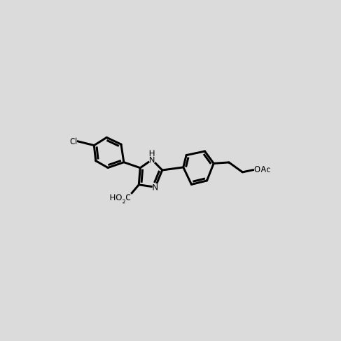 CC(=O)OCCc1ccc(-c2nc(C(=O)O)c(-c3ccc(Cl)cc3)[nH]2)cc1